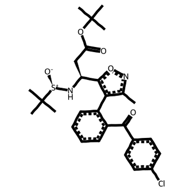 Cc1noc([C@H](CC(=O)OC(C)(C)C)N[S@+]([O-])C(C)(C)C)c1-c1ccccc1C(=O)c1ccc(Cl)cc1